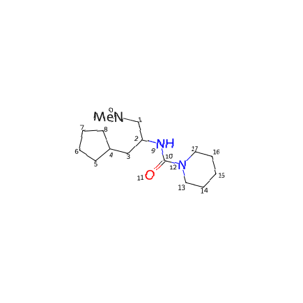 CNCC(CC1CCCC1)NC(=O)N1CCCCC1